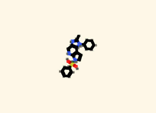 Cc1nc2cnc3c(ccn3S(=O)(=O)c3ccccc3)c2n1C1CCCCC1